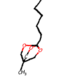 COCCCCC12OCC(C)(CO1)CO2